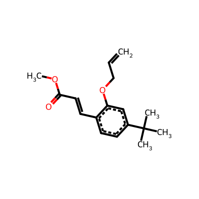 C=CCOc1cc(C(C)(C)C)ccc1/C=C/C(=O)OC